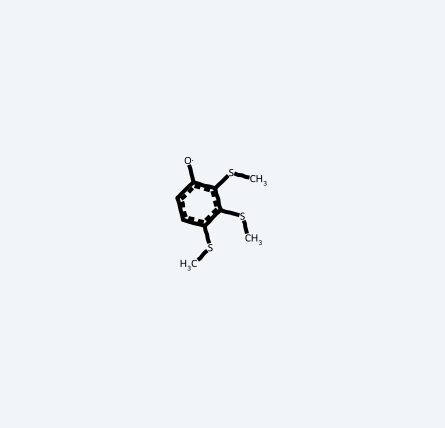 CSc1ccc([O])c(SC)c1SC